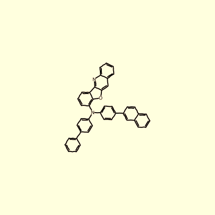 c1ccc(-c2ccc(N(c3ccc(-c4ccc5ccccc5c4)cc3)c3cccc4c3oc3cc5ccccc5nc34)cc2)cc1